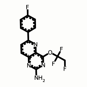 Nc1nc(OC(F)(F)CF)c2nc(-c3ccc(F)cc3)ccc2n1